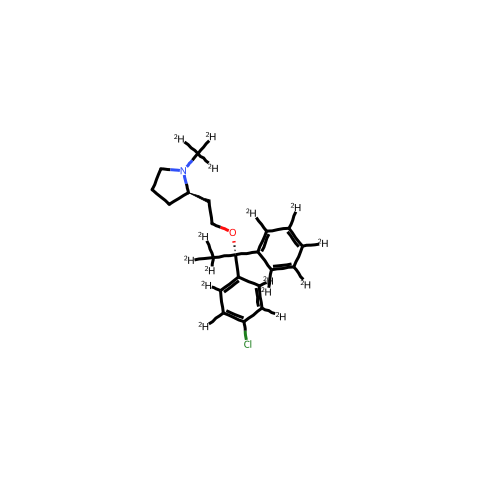 [2H]c1c([2H])c([2H])c([C@@](OCC[C@H]2CCCN2C([2H])([2H])[2H])(c2c([2H])c([2H])c(Cl)c([2H])c2[2H])C([2H])([2H])[2H])c([2H])c1[2H]